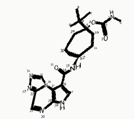 CNC(=O)O[C@]1(C(C)(C)C)CC[C@@H](NC(=O)c2c[nH]c3ncc4nncn4c23)CC1